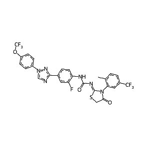 Cc1ccc(C(F)(F)F)cc1N1C(=O)CS/C1=N\C(=O)Nc1ccc(-c2ncn(-c3ccc(OC(F)(F)F)cc3)n2)cc1F